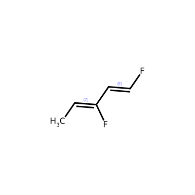 C/C=C(F)/C=C/F